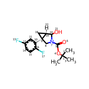 CC(C)(C)OC(=O)N1C[C@@]2(c3cc(F)ccc3F)C[C@H]2C1O